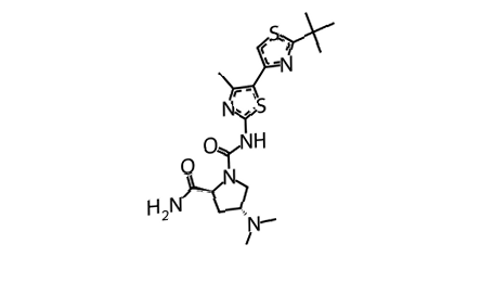 Cc1nc(NC(=O)N2C[C@H](N(C)C)C[C@H]2C(N)=O)sc1-c1csc(C(C)(C)C)n1